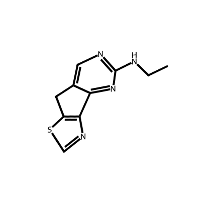 CCNc1ncc2c(n1)-c1ncsc1C2